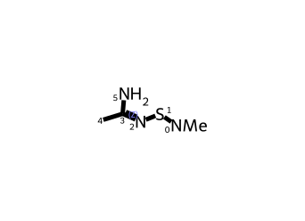 CNS/N=C(/C)N